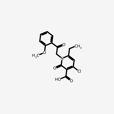 CCc1cc(Cl)c(C(=O)O)c(=O)n1CC(=O)c1ccccc1OC